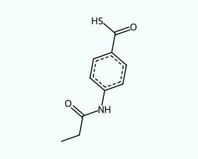 CCC(=O)Nc1ccc(C(=O)S)cc1